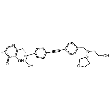 O=c1[nH]cnc(C[C@@H](CO)c2ccc(C#Cc3ccc(CN(CCO)[C@@H]4CCOC4)cc3)cc2)c1O